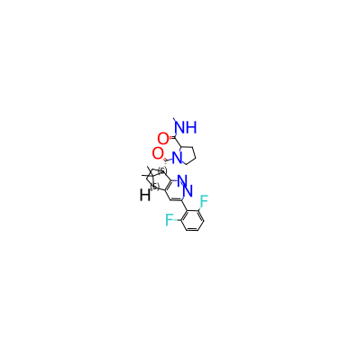 CNC(=O)C1CCCN1C(=O)[C@]12CC[C@H](c3cc(-c4c(F)cccc4F)nnc31)C2(C)C